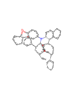 CC(C)(C)c1ccc(N(c2ccc3oc4ccccc4c3c2)c2ccc3ccccc3c2-c2ccc(-c3ccccc3)cc2)c(-c2ccccc2)c1